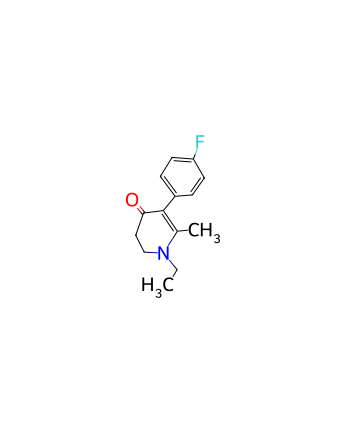 CCN1CCC(=O)C(c2ccc(F)cc2)=C1C